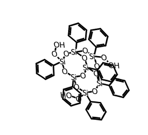 OO[Si]1(c2ccccc2)O[Si]2(c3ccccc3)O[Si](OO)(c3ccccc3)O[Si]3(c4ccccc4)O[Si](OO)(c4ccccc4)O[Si](c4ccccc4)(O1)O[Si](c1ccccc1)(O2)O3